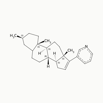 C[C@H]1CC[C@@]2(C)C(CC[C@@H]3[C@@H]2CC[C@]2(C)C(c4cccnc4)=CC[C@@H]32)C1